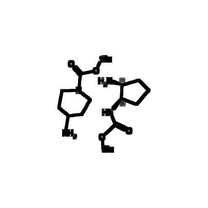 CC(C)(C)OC(=O)N1CCC(N)CC1.CC(C)(C)OC(=O)N[C@@H]1CCC[C@@H]1N